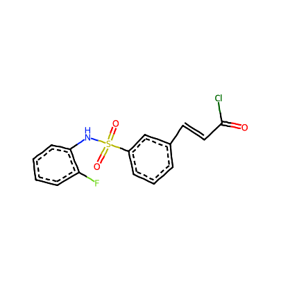 O=C(Cl)C=Cc1cccc(S(=O)(=O)Nc2ccccc2F)c1